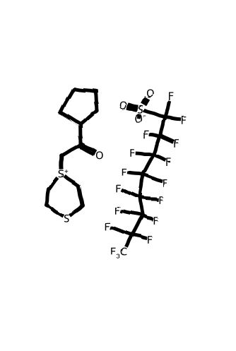 O=C(C[S+]1CCSCC1)C1CCCC1.O=S(=O)([O-])C(F)(F)C(F)(F)C(F)(F)C(F)(F)C(F)(F)C(F)(F)C(F)(F)C(F)(F)F